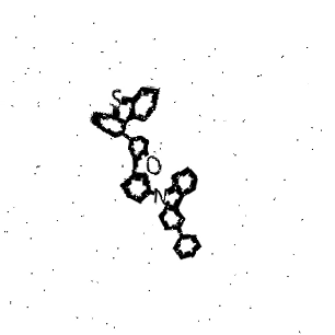 c1ccc(-c2ccc3c(c2)c2ccccc2n3-c2cccc3c2oc2ccc(-c4cccc5sc6ccccc6c45)cc23)cc1